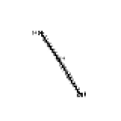 OCCCCCCCCCCCCCCCCCCCCCCNCCCCCCCCCCCCCCCCO